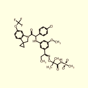 CCC(=NOC(C)(C)C(=O)NS(C)(=O)=O)c1cc(NC(C(=O)N2CC3(CC3)c3ccc(OC(F)(F)F)cc32)c2ccc(Cl)cc2)cc(OC)c1